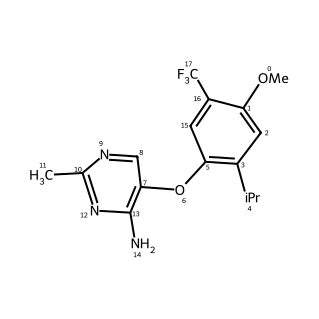 COc1cc(C(C)C)c(Oc2cnc(C)nc2N)cc1C(F)(F)F